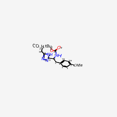 COc1ccc(CC(NC(=O)OC(C)(C)C)c2nnc(CC(=O)O)[nH]2)cc1